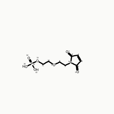 O=C1C=CC(=O)N1CCOCCOP(=O)(O)O